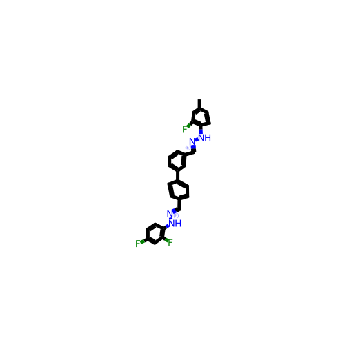 Cc1ccc(N/N=C/c2cccc(-c3ccc(/C=N/Nc4ccc(F)cc4F)cc3)c2)c(F)c1